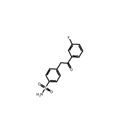 NS(=O)(=O)c1ccc(CC(=O)c2cccc(F)c2)cc1